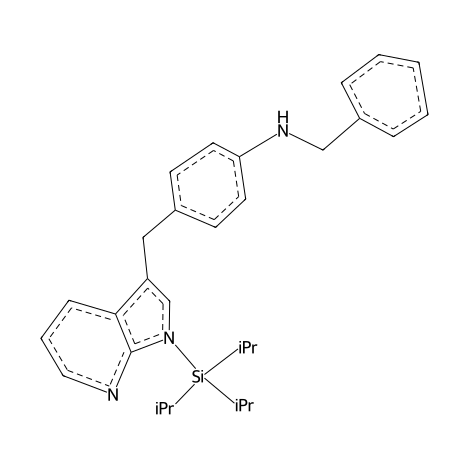 CC(C)[Si](C(C)C)(C(C)C)n1cc(Cc2ccc(NCc3ccccc3)cc2)c2cccnc21